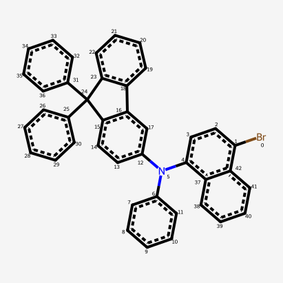 Brc1ccc(N(c2ccccc2)c2ccc3c(c2)-c2ccccc2C3(c2ccccc2)c2ccccc2)c2ccccc12